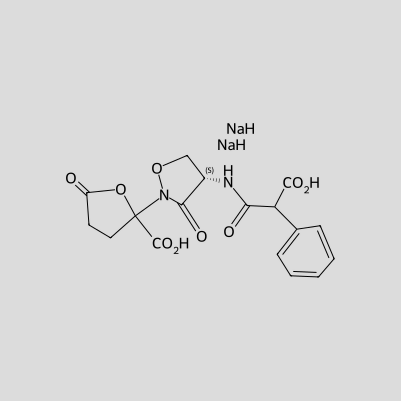 O=C1CCC(C(=O)O)(N2OC[C@H](NC(=O)C(C(=O)O)c3ccccc3)C2=O)O1.[NaH].[NaH]